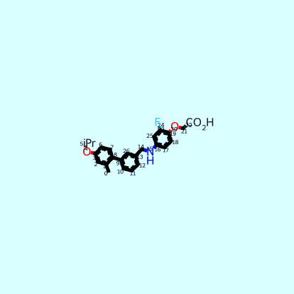 Cc1cc(OC(C)C)ccc1-c1cccc(CNc2ccc(OCC(=O)O)c(F)c2)c1